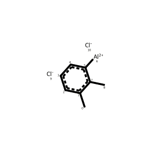 Cc1ccc[c]([Al+2])c1C.[Cl-].[Cl-]